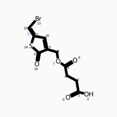 O=C(O)CCC(=O)OCC1=C/C(=C\Br)SC1=O